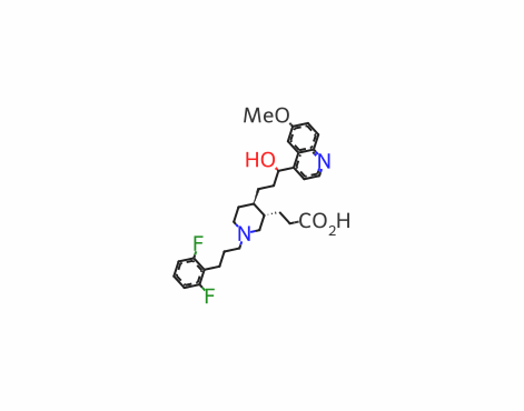 COc1ccc2nccc([C@H](O)CC[C@@H]3CCN(CCCc4c(F)cccc4F)C[C@H]3CCC(=O)O)c2c1